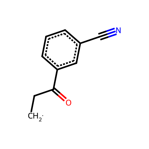 [CH2]CC(=O)c1cccc(C#N)c1